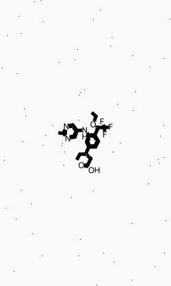 CCO[C@H](c1ccc(C(CC)CC(=O)O)cc1Nc1cnc(C)nc1)C(F)(F)F